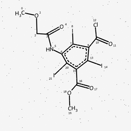 COCC(=O)Nc1c(I)c(C(=O)Cl)c(I)c(C(=O)OC)c1I